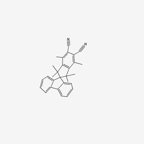 Cc1c(C#N)c(C#N)c(C)c2c1C(C)(C)C1(c3ccccc3-c3ccccc31)C2(C)C